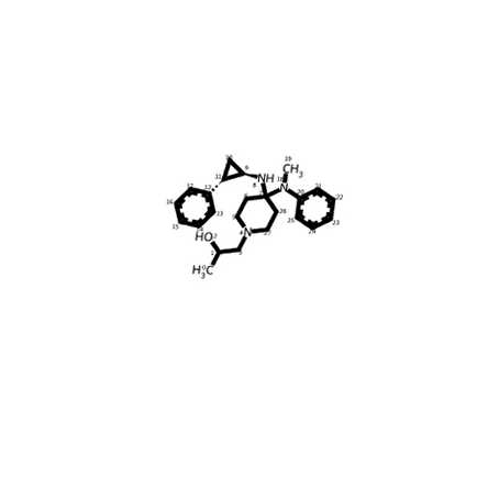 CC(O)CN1CCC(N[C@@H]2C[C@H]2c2ccccc2)(N(C)c2ccccc2)CC1